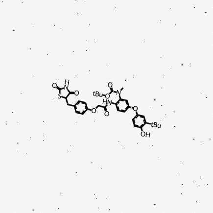 CN(C(=O)OC(C)(C)C)c1cc(Oc2ccc(O)c(C(C)(C)C)c2)ccc1NC(=O)COc1ccc(CC2SC(=O)NC2=O)cc1